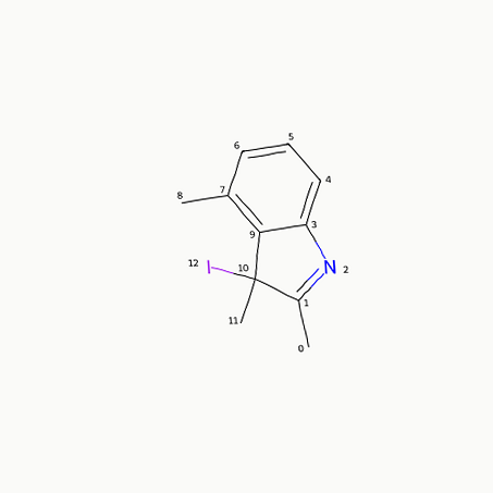 CC1=Nc2cccc(C)c2C1(C)I